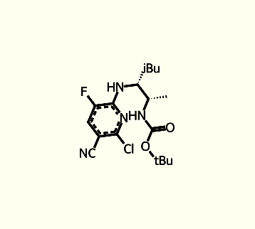 CCC(C)[C@@H](Nc1nc(Cl)c(C#N)cc1F)[C@H](C)NC(=O)OC(C)(C)C